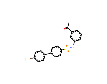 CC(=O)c1cccc(NS(=O)(=O)c2ccc(-c3ccc(Br)cc3)cc2)c1